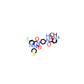 COc1ncccc1C(=O)NC1CCC(n2c(=O)c3cc(F)cnc3n(C3CCSCC3)c2=O)CC1